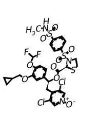 CNS(=O)(=O)c1ccc(S(=O)(=O)N2CCS[C@H]2C(=O)O[C@@H](Cc2c(Cl)c[n+]([O-])cc2Cl)c2ccc(OC(F)F)c(OCC3CC3)c2)cc1